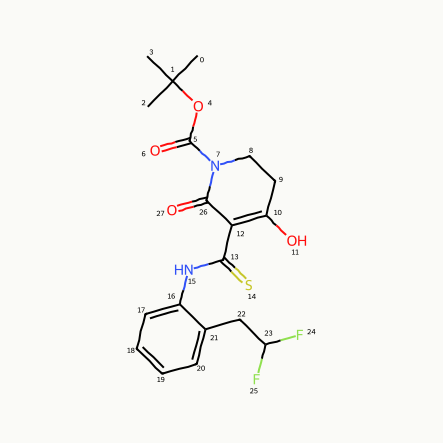 CC(C)(C)OC(=O)N1CCC(O)=C(C(=S)Nc2ccccc2CC(F)F)C1=O